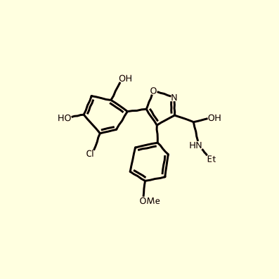 CCNC(O)c1noc(-c2cc(Cl)c(O)cc2O)c1-c1ccc(OC)cc1